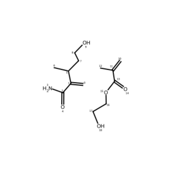 C=C(C(N)=O)C(C)CCO.C=C(C)C(=O)OCCO